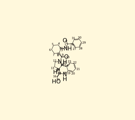 O=C(N[C@@H]1CCCC[C@@H]1C(=O)N1CC[C@@H]2[C@H](CO)Nc3ccccc3[C@@H]21)c1ccccc1